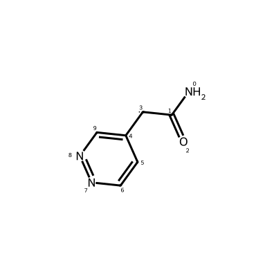 NC(=O)[CH]c1ccnnc1